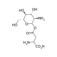 NC(CC(=O)OC1O[C@H](CO)[C@@H](O)[C@H](O)[C@H]1N)C(=O)O